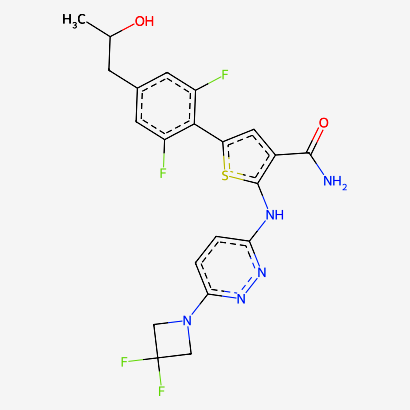 CC(O)Cc1cc(F)c(-c2cc(C(N)=O)c(Nc3ccc(N4CC(F)(F)C4)nn3)s2)c(F)c1